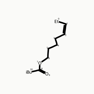 CC/C=C\CCCCOC(=O)C(C)CC